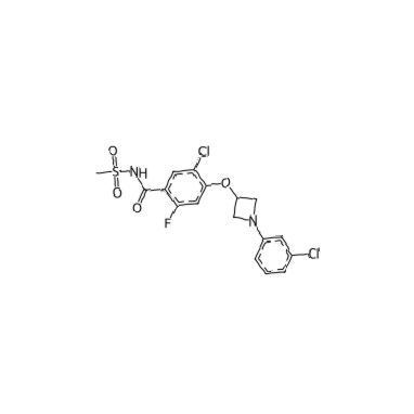 CS(=O)(=O)NC(=O)c1cc(Cl)c(OC2CN(c3cccc(Cl)c3)C2)cc1F